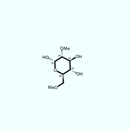 COC[C@H]1O[C@H](O)[C@H](OC)[C@@H](O)[C@@H]1O